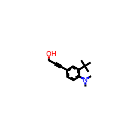 CN(C)c1ccc(C#CCO)cc1C(C)(C)C